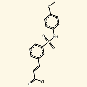 COc1ccc(NS(=O)(=O)c2cccc(/C=C/C(=O)Cl)c2)cc1